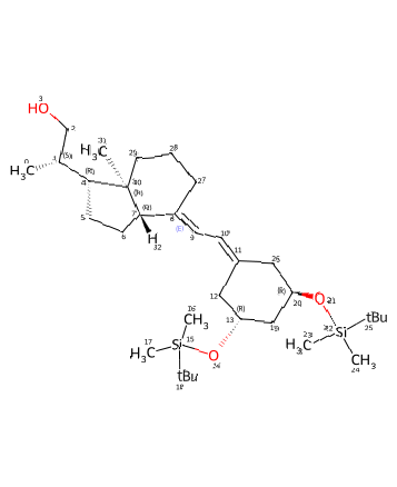 C[C@H](CO)[C@H]1CC[C@H]2/C(=C/C=C3C[C@@H](O[Si](C)(C)C(C)(C)C)C[C@H](O[Si](C)(C)C(C)(C)C)C3)CCC[C@]12C